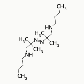 CCCCNCC(C)(C)N=NC(C)(C)CNCCCC